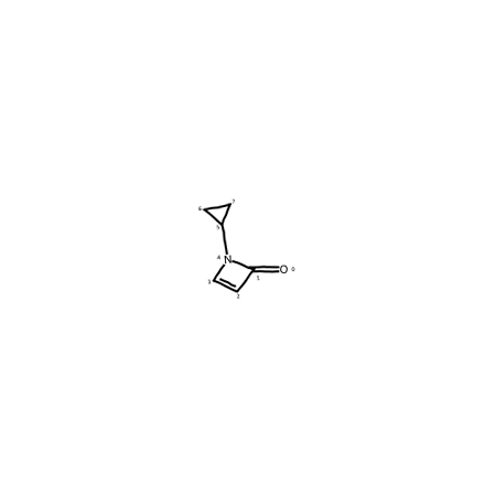 O=C1C=CN1C1CC1